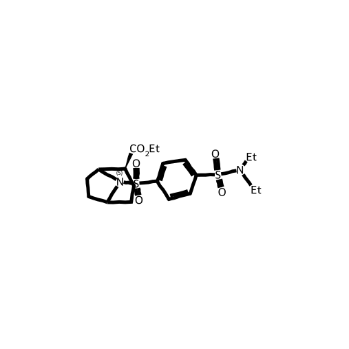 CCOC(=O)[C@H]1CCC2CCC1N2S(=O)(=O)c1ccc(S(=O)(=O)N(CC)CC)cc1